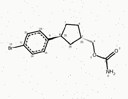 NC(=O)OC[C@H]1CC[C@H](c2ccc(Br)cc2)C1